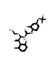 CCOC(NC(=O)Nc1ccc(SC(F)(F)F)cc1F)C(=O)c1c(F)cccc1F